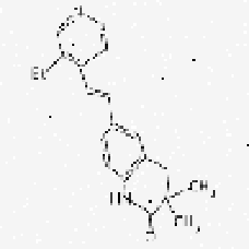 CCc1cnccc1/C=C/c1ccc2c(c1)CC(C)(C)C(=O)N2